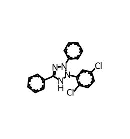 Clc1ccc(Cl)c(N2NC(c3ccccc3)=NN2c2ccccc2)c1